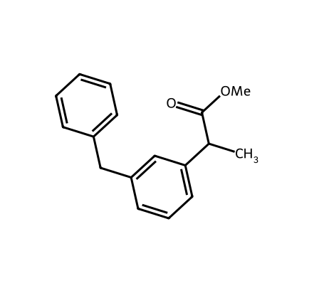 COC(=O)C(C)c1cccc(Cc2ccccc2)c1